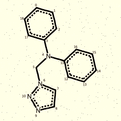 c1ccc(N(Cn2ccnn2)c2ccccc2)cc1